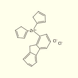 C1=CC[C]([Zr+2]([C]2=CC=CC2)[c]2cccc3c2Cc2ccccc2-3)=C1.[Cl-].[Cl-]